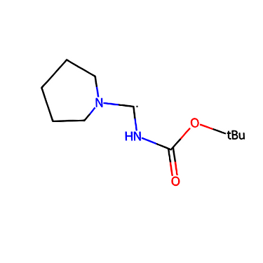 CC(C)(C)OC(=O)N[CH]N1CCCCC1